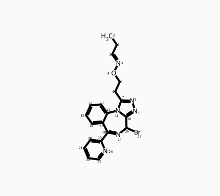 CCC=NOCCc1nnc2n1-c1ccccc1C(c1ccccn1)=NC2Br